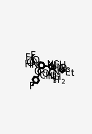 CCc1cc(Nc2c(C(N)=O)c(-c3ccc(NS(=O)(=O)C(F)F)c(OC(C)c4ccc(F)cc4)c3)nn2C)no1